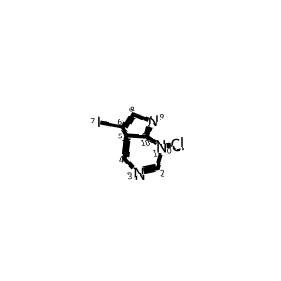 Cln1cncc2c(I)cnc1-2